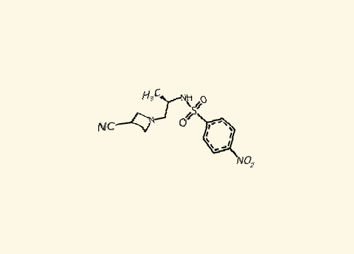 C[C@H](CN1CC(C#N)C1)NS(=O)(=O)c1ccc([N+](=O)[O-])cc1